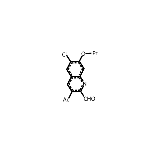 CC(=O)c1cc2cc(Cl)c(OC(C)C)cc2nc1C=O